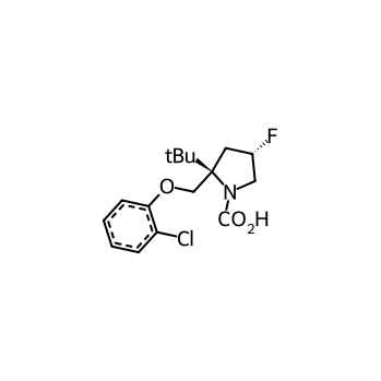 CC(C)(C)[C@@]1(COc2ccccc2Cl)C[C@H](F)CN1C(=O)O